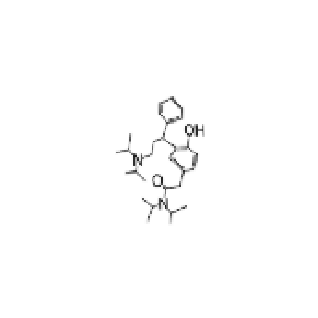 CC(C)N(CCC(c1ccccc1)c1cc(CC(=O)N(C(C)C)C(C)C)ccc1O)C(C)C